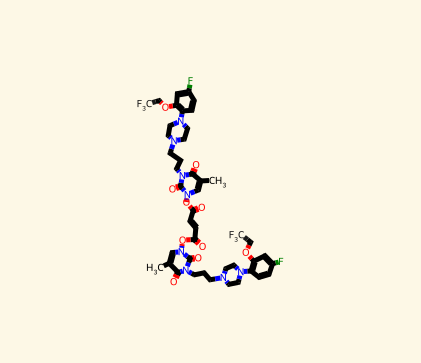 Cc1cn(OC(=O)/C=C/C(=O)On2cc(C)c(=O)n(CCCN3CCN(c4ccc(F)cc4OCC(F)(F)F)CC3)c2=O)c(=O)n(CCCN2CCN(c3ccc(F)cc3OCC(F)(F)F)CC2)c1=O